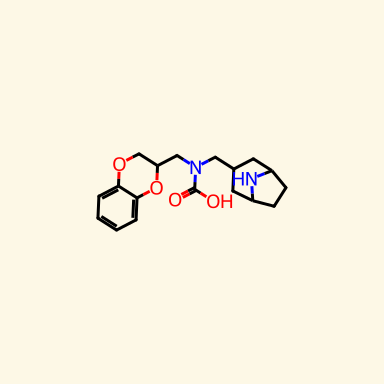 O=C(O)N(CC1CC2CCC(C1)N2)CC1COc2ccccc2O1